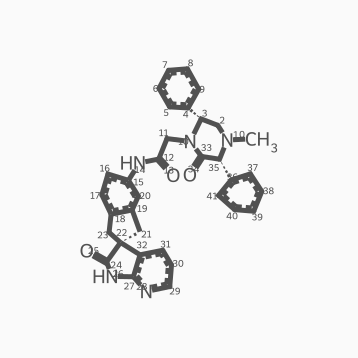 CN1C[C@@H](c2ccccc2)N(CC(=O)Nc2ccc3c(c2)C[C@@]2(C3)C(=O)Nc3ncccc32)C(=O)[C@H]1c1ccccc1